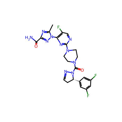 Cc1nc(C(N)=O)nn1-c1nc(N2CCN(C(=O)N3N=CC[C@H]3c3cc(F)cc(F)c3)CC2)ncc1F